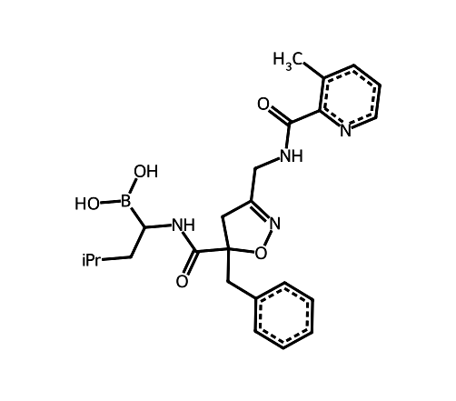 Cc1cccnc1C(=O)NCC1=NOC(Cc2ccccc2)(C(=O)NC(CC(C)C)B(O)O)C1